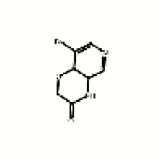 O=C1COC2C(Br)=CN=CC2N1